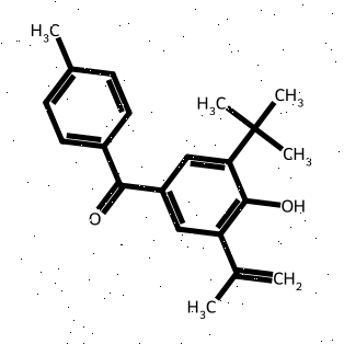 C=C(C)c1cc(C(=O)c2ccc(C)cc2)cc(C(C)(C)C)c1O